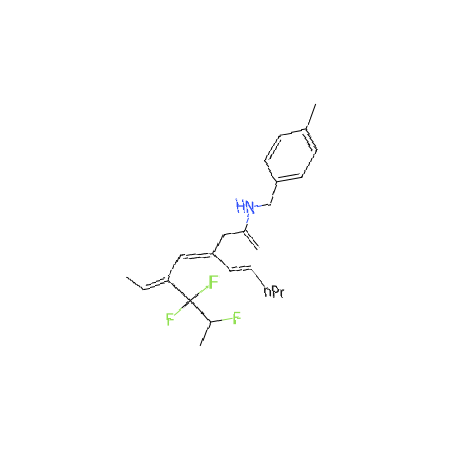 C=C(CC(=C/C(=C\C)C(F)(F)C(C)F)/C=C/CCC)NCc1ccc(C)cc1